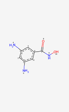 Nc1cc(N)cc(C(=O)NO)c1